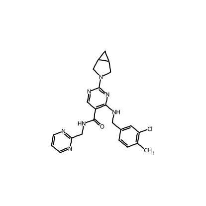 Cc1ccc(CNc2nc(N3CC4CC4C3)ncc2C(=O)NCc2ncccn2)cc1Cl